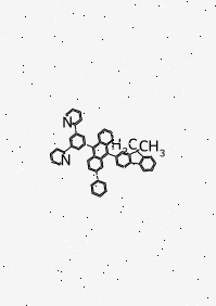 CC1(C)c2ccccc2-c2ccc(-c3c4ccccc4c(-c4cc(-c5ccccn5)cc(-c5ccccn5)c4)c4ccc(-c5ccccc5)cc34)cc21